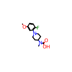 COc1ccc(F)c(N2CCC(N(C)C(=O)O)CC2)c1